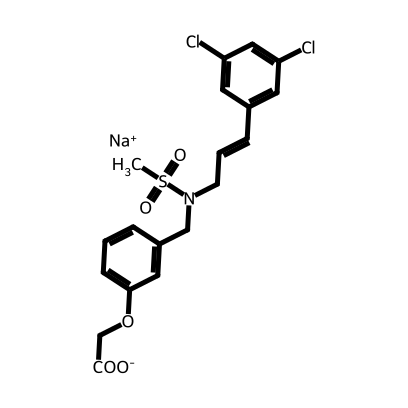 CS(=O)(=O)N(CC=Cc1cc(Cl)cc(Cl)c1)Cc1cccc(OCC(=O)[O-])c1.[Na+]